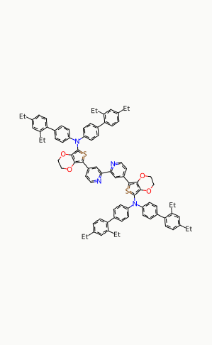 CCc1ccc(-c2ccc(N(c3ccc(-c4ccc(CC)cc4CC)cc3)c3sc(-c4ccnc(-c5cc(-c6sc(N(c7ccc(-c8ccc(CC)cc8CC)cc7)c7ccc(-c8ccc(CC)cc8CC)cc7)c7c6OCCO7)ccn5)c4)c4c3OCCO4)cc2)c(CC)c1